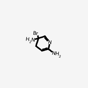 NC1=CCC(N)(Br)C=N1